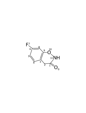 O=C1Cc2ccc(F)cc2ON1